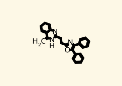 C=C1NC(CCc2nc(-c3ccccc3)c(-c3ccccc3)o2)=NC2=CCCC=C12